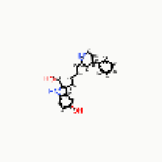 OCc1[nH]c2ccc(O)cc2c1CCCCC1CC(c2ccccc2)=CCN1